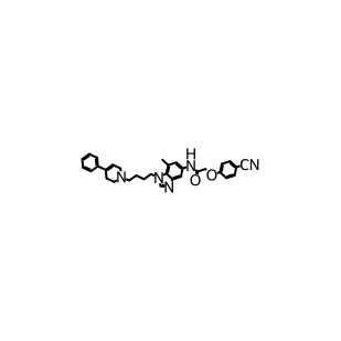 Cc1cc(NC(=O)COc2ccc(C#N)cc2)cc2ncn(CCCCN3CC=C(c4ccccc4)CC3)c12